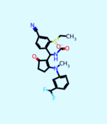 CC[S+]([O-])c1cc(C#N)ccc1C(NC=O)C1=C(N(C)c2cccc(C(F)F)c2)CCC1=O